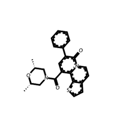 C[C@@H]1CN(C(=O)c2cc(-c3ccccc3)c(=O)n3ccc4ccsc4c23)C[C@H](C)O1